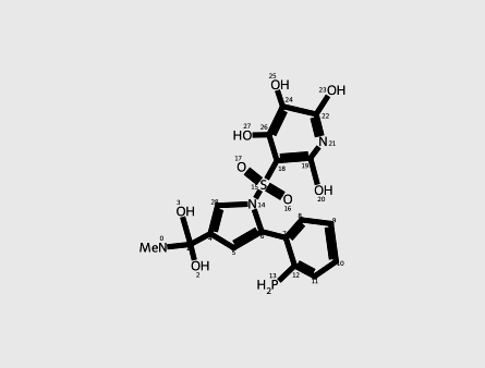 CNC(O)(O)c1cc(-c2ccccc2P)n(S(=O)(=O)c2c(O)nc(O)c(O)c2O)c1